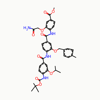 COC(=O)c1ccc(NC(=O)c2ccc(NC(=O)c3ccc(NC(=O)OC(C)(C)C)c(OC(C)C)c3)c(OCc3ccc(C)cc3)c2)c(OCC(N)=O)c1